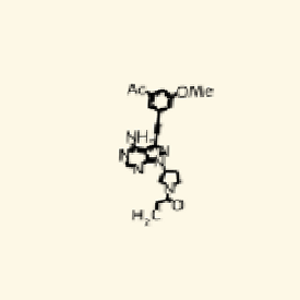 C=CC(=O)N1CC[C@H](n2nc(C#Cc3cc(OC)cc(C(C)=O)c3)c3c(N)ncnc32)C1